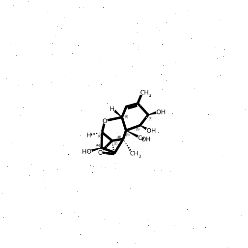 CC1=C[C@H]2O[C@@H]3[C@H](O)C[C@](C)([C@@]2(CO)[C@H](O)[C@@H]1O)[C@]31CO1